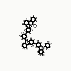 O=c1c2ccccc2c2cccc3c4cc(-c5cccc(-n6c7ccccc7c7cc(-c8ccc9c(c8)c8ccccc8n9-c8ccccc8)ccc76)c5)ccc4n1c23